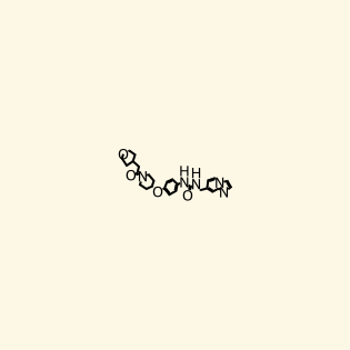 O=C(NCc1ccn2ccnc2c1)Nc1ccc(OC2CCN(C(=O)CC3CCOCC3)CC2)cc1